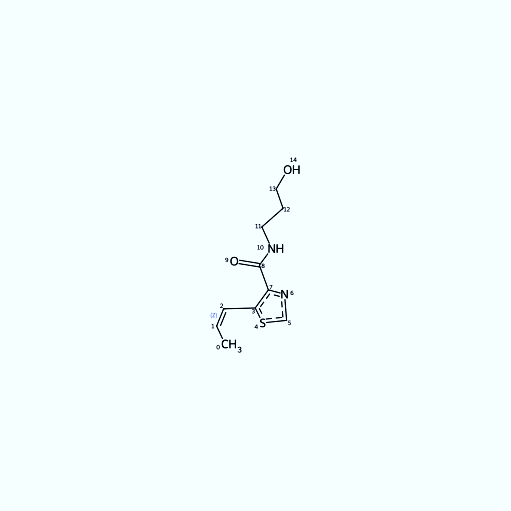 C/C=C\c1scnc1C(=O)NCCCO